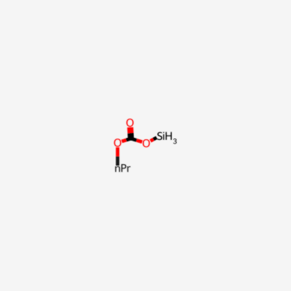 CCCOC(=O)O[SiH3]